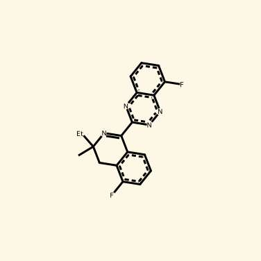 CCC1(C)Cc2c(F)cccc2C(c2nnc3c(F)cccc3n2)=N1